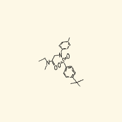 CCN(C)C(=O)CN(c1ccc(C)cc1)S(=O)(=O)c1ccc(C(C)(C)C)cc1